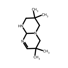 CC1(C)C=NC2NCC(C)(C)CN2C1